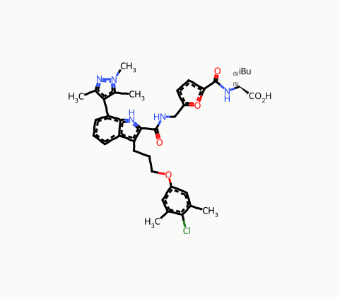 CC[C@H](C)[C@H](NC(=O)c1ccc(CNC(=O)c2[nH]c3c(-c4c(C)nn(C)c4C)cccc3c2CCCOc2cc(C)c(Cl)c(C)c2)o1)C(=O)O